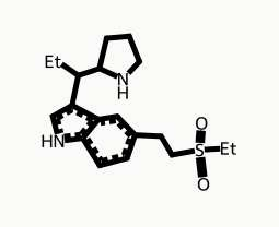 CCC(c1c[nH]c2ccc(CCS(=O)(=O)CC)cc12)C1CCCN1